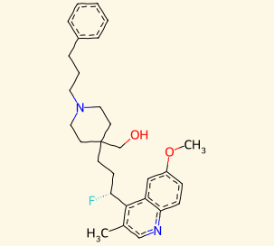 COc1ccc2ncc(C)c([C@H](F)CCC3(CO)CCN(CCCc4ccccc4)CC3)c2c1